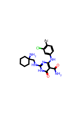 CC(=O)c1ccc(Nc2nc(NCC3(N)CCCCC3)[nH]c(=O)c2C(N)=O)cc1Cl